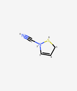 N#CN1C=CCS1